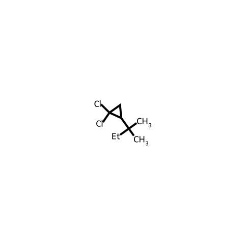 CCC(C)(C)C1CC1(Cl)Cl